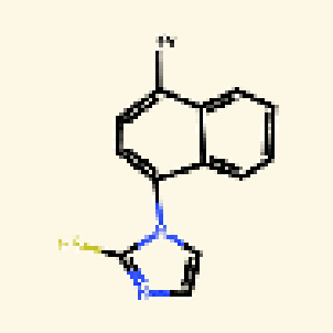 CC(C)c1ccc(-n2ccnc2S)c2ccccc12